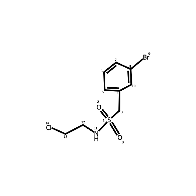 O=S(=O)(Cc1cccc(Br)c1)NCCCl